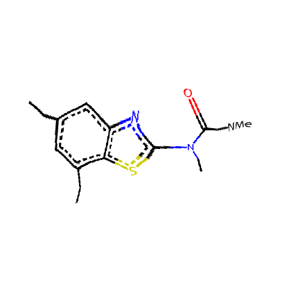 CNC(=O)N(C)c1nc2cc(C)cc(C)c2s1